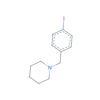 Ic1ccc(CN2CC[CH]CC2)cc1